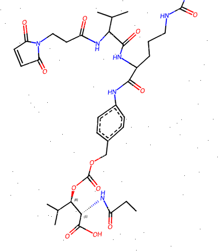 CCC(=O)N[C@H](C(=O)O)[C@H](OC(=O)OCc1ccc(NC(=O)C(CCCNC(N)=O)NC(=O)C(NC(=O)CCN2C(=O)C=CC2=O)C(C)C)cc1)C(C)C